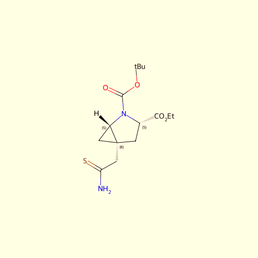 CCOC(=O)[C@@H]1C[C@@]2(CC(N)=S)C[C@@H]2N1C(=O)OC(C)(C)C